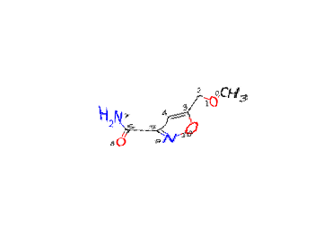 COCc1cc(C(N)=O)no1